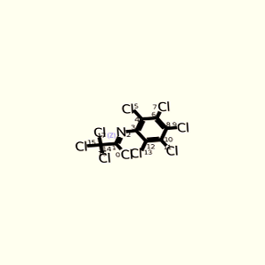 Cl/C(=N\c1c(Cl)c(Cl)c(Cl)c(Cl)c1Cl)C(Cl)(Cl)Cl